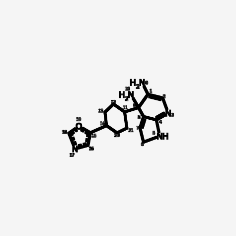 NC1=CN=C2NCC=C2C1(N)C1CCC(c2cnco2)CC1